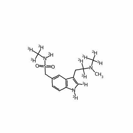 [2H]c1c(CC([2H])([2H])N(C)C([2H])([2H])[2H])c2cc(CS(=O)(=O)N([2H])C([2H])([2H])[2H])ccc2n1[2H]